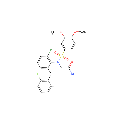 COc1ccc(S(=O)(=O)N(CC(N)=O)c2c(Cl)cccc2Cc2c(F)cccc2F)cc1OC